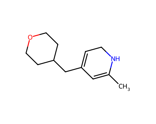 CC1=CC(CC2CCOCC2)=CCN1